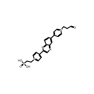 O=CCC[n+]1ccc(-c2ccc3nc(-c4cc[n+](CCP(=O)(O)O)cc4)cnc3c2)cc1